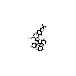 OB(O)c1cn(C(c2ccccc2)(c2ccccc2)c2ccccc2)nc1-c1ccc(OC(F)(F)F)cc1